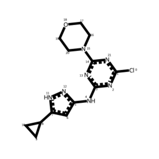 Clc1nc(Nc2cc(C3CC3)[nH]n2)nc(N2CCOCC2)n1